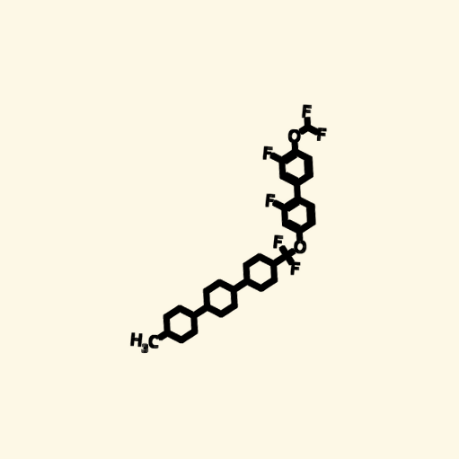 CC1CCC(C2CCC(C3CCC(C(F)(F)Oc4ccc(-c5ccc(OC(F)F)c(F)c5)c(F)c4)CC3)CC2)CC1